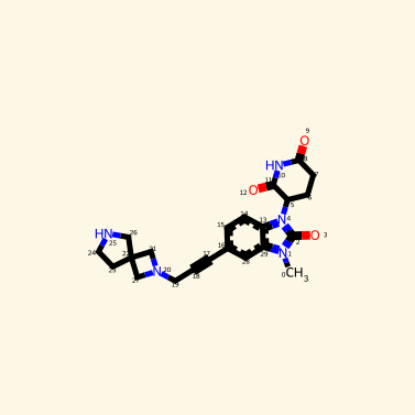 Cn1c(=O)n(C2CCC(=O)NC2=O)c2ccc(C#CCN3CC4(CCNC4)C3)cc21